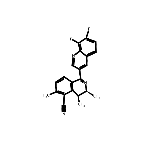 Cc1ccc2c(c1C#N)[C@H](C)[C@H](C)N=C2c1cnc2c(F)c(F)ccc2c1